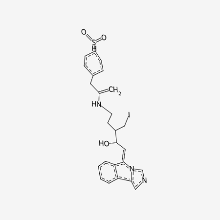 C=C(Cc1ccc([SH](=O)=O)cc1)NCCC(CI)C(O)/C=c1\c2ccccc2c2cncn12